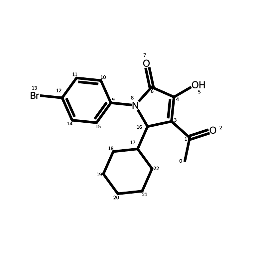 CC(=O)C1=C(O)C(=O)N(c2ccc(Br)cc2)C1C1CCCCC1